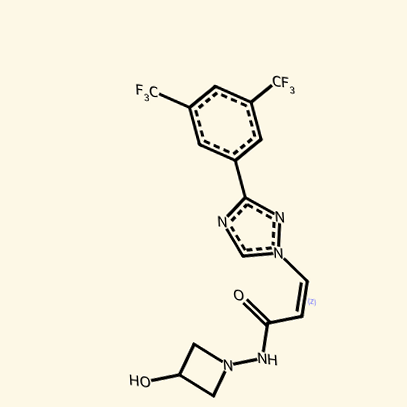 O=C(/C=C\n1cnc(-c2cc(C(F)(F)F)cc(C(F)(F)F)c2)n1)NN1CC(O)C1